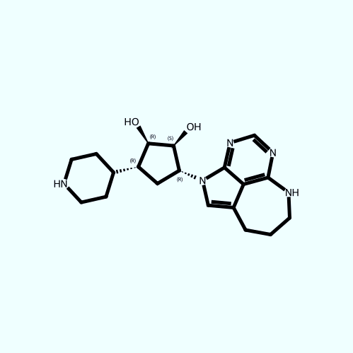 O[C@@H]1[C@H](O)[C@@H](C2CCNCC2)C[C@H]1n1cc2c3c(ncnc31)NCCC2